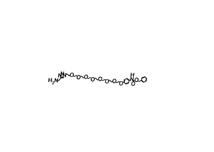 NCc1cn(CCOCCOCCOCCOCCOCCOCCOCCOc2ccc(NC(=O)OCc3ccccc3)cc2)nn1